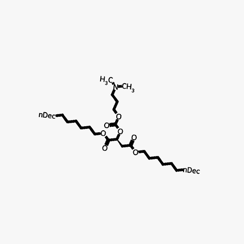 CCCCCCCCCCCCCCCCOC(=O)C[C@H](OC(=O)OCCCN(C)C)C(=O)OCCCCCCCCCCCCCCCC